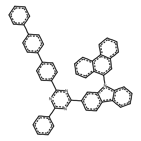 c1ccc(-c2ccc(-c3ccc(-c4nc(-c5ccccc5)nc(-c5ccc6c7ccccc7n(-c7cc8ccccc8c8ccccc78)c6c5)n4)cc3)cc2)cc1